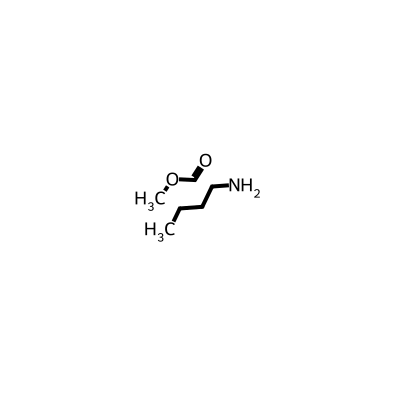 CCCCN.COC=O